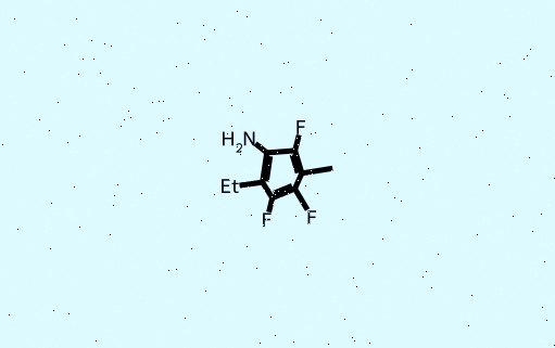 CCc1c(N)c(F)c(C)c(F)c1F